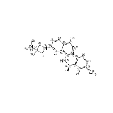 Cc1c([C@@H](C)Nc2nnc(C)c3ccc(N4CC(C)(N(C)C)C4)cc23)cccc1C(F)(F)F